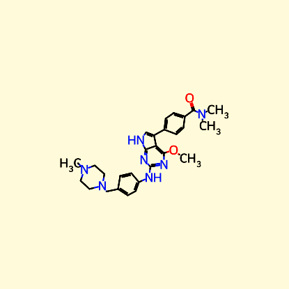 COc1nc(Nc2ccc(CN3CCN(C)CC3)cc2)nc2[nH]cc(-c3ccc(C(=O)N(C)C)cc3)c12